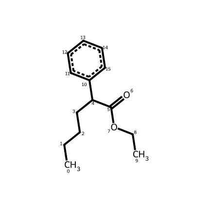 CCCCC(C(=O)OCC)c1ccccc1